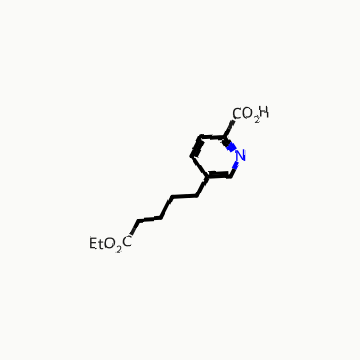 CCOC(=O)CCCCc1ccc(C(=O)O)nc1